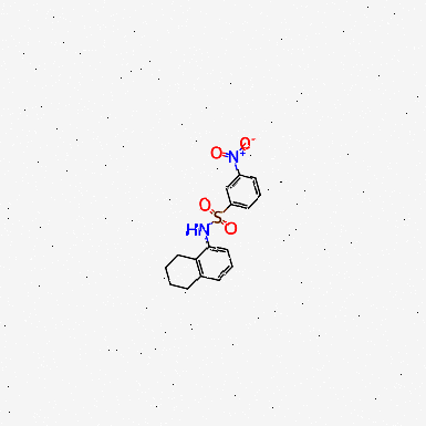 O=[N+]([O-])c1cccc(S(=O)(=O)Nc2cccc3c2CCCC3)c1